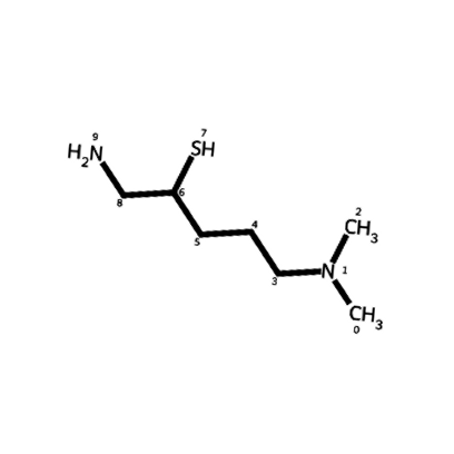 CN(C)CCCC(S)CN